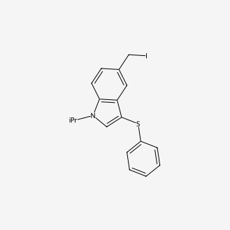 CC(C)n1cc(Sc2ccccc2)c2cc(CI)ccc21